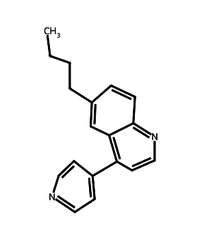 CCCCc1ccc2nccc(-c3ccncc3)c2c1